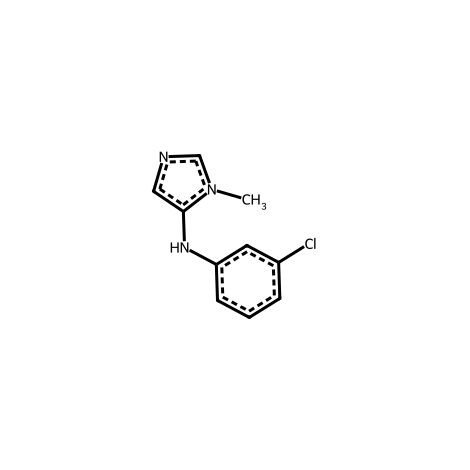 Cn1cncc1Nc1cccc(Cl)c1